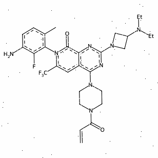 C=CC(=O)N1CCN(c2nc(N3CC(N(CC)CC)C3)nc3c(=O)n(-c4c(C)ccc(N)c4F)c(C(F)(F)F)cc23)CC1